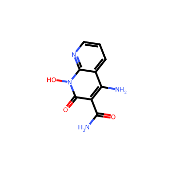 NC(=O)c1c(N)c2cccnc2n(O)c1=O